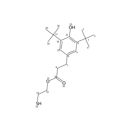 CC(C)(C)c1cc(CCC(=O)OCCS)cc(C(C)(C)C)c1O